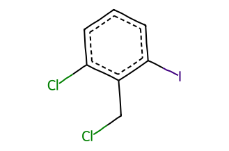 ClCc1c(Cl)cccc1I